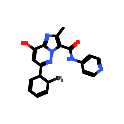 Cc1nc2c(O)cc(C3C=CC=CC3C(F)(F)F)nn2c1C(=O)Nc1ccncc1